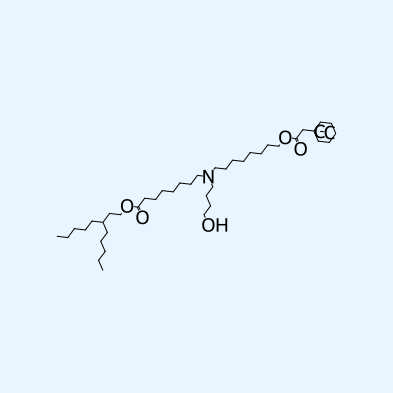 CCCCCC(CCCCC)CCOC(=O)CCCCCCCN(CCCCO)CCCCCCCCOC(=O)CC12CCC(CC1)CC2